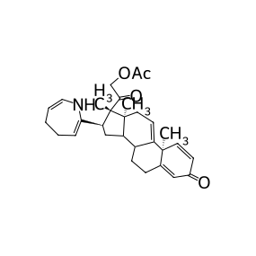 CC(=O)OCC(=O)[C@@]1(C)[C@H](C2=CCCC=CN2)CC2C3CCC4=CC(=O)C=C[C@]4(C)C3=CC[C@@]21C